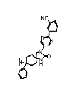 CN(C)[C@]1(c2ccccc2)CC[C@]2(CC1)CN(c1cnc(-c3cccc(C#N)c3)nc1)C(=O)N2